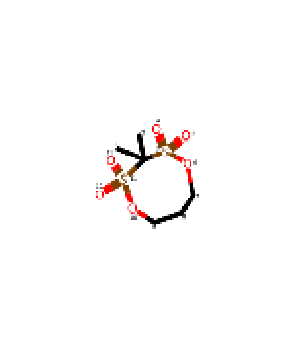 CC1(C)S(=O)(=O)OCCCOS1(=O)=O